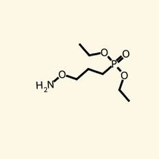 CCOP(=O)(CCCON)OCC